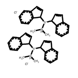 C[SiH](C)[Ti+]([CH]1C=Cc2ccccc21)[CH]1C=Cc2ccccc21.C[SiH](C)[Ti+]([CH]1C=Cc2ccccc21)[CH]1C=Cc2ccccc21.[Cl-].[Cl-]